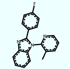 Cc1cccnc1-n1c(-c2ccc(F)cc2)nc2ccccc21